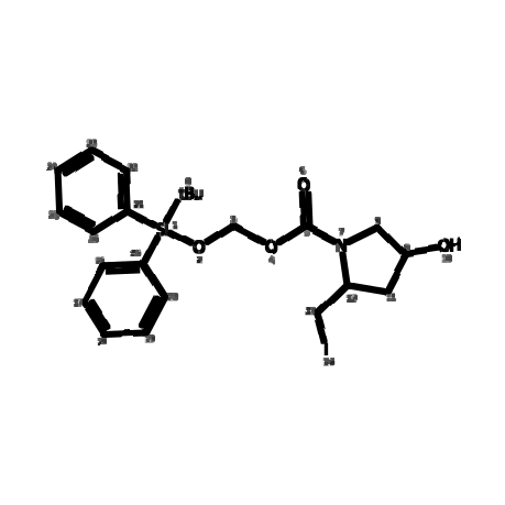 CC(C)(C)[Si](OCOC(=O)N1CC(O)CC1CI)(c1ccccc1)c1ccccc1